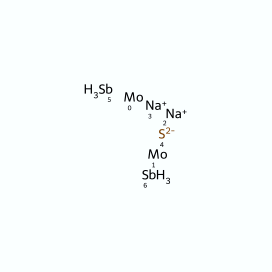 [Mo].[Mo].[Na+].[Na+].[S-2].[SbH3].[SbH3]